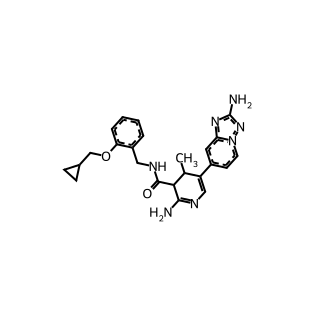 CC1C(c2ccn3nc(N)nc3c2)=CN=C(N)C1C(=O)NCc1ccccc1OCC1CC1